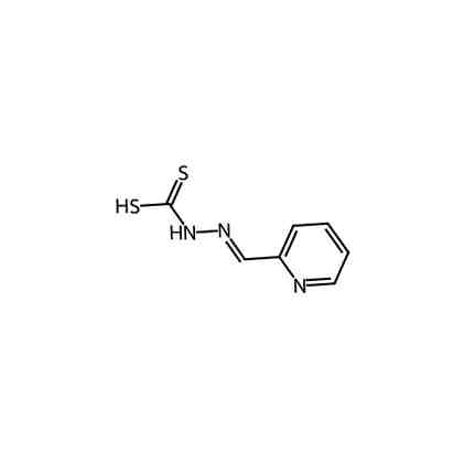 S=C(S)N/N=C/c1ccccn1